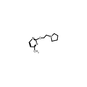 Cc1ccnc(OCCN2CCCC2)n1